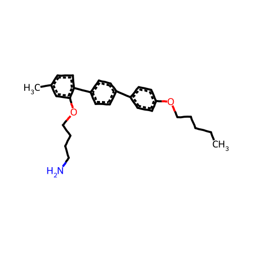 CCCCCOc1ccc(-c2ccc(-c3ccc(C)cc3OCCCCN)cc2)cc1